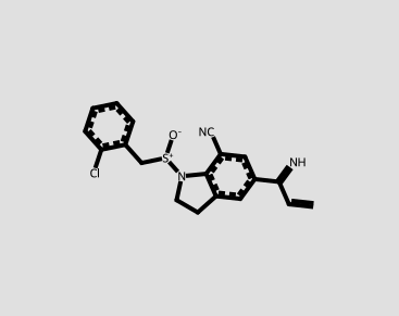 C=CC(=N)c1cc(C#N)c2c(c1)CCN2[S+]([O-])Cc1ccccc1Cl